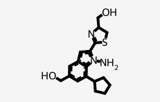 Nn1c(C2=NC(CO)CS2)cc2cc(CO)cc(C3CCCC3)c21